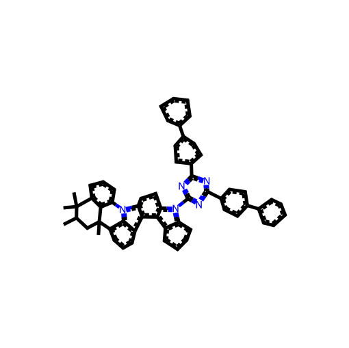 CC1CC2(C)c3c(cccc3C1(C)C)-n1c3ccc4c(c5ccccc5n4-c4nc(-c5ccc(-c6ccccc6)cc5)nc(-c5ccc(-c6ccccc6)cc5)n4)c3c3cccc2c31